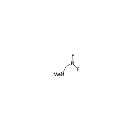 CNCN(F)F